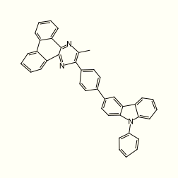 Cc1nc2c3ccccc3c3ccccc3c2nc1-c1ccc(-c2ccc3c(c2)c2ccccc2n3-c2ccccc2)cc1